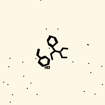 C=Cc1ccccc1.CCC(c1ccccc1)N(CC)CC.Cl